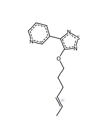 C/C=C/CCCOc1nsnc1-c1cccnc1